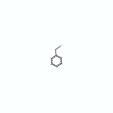 FCc1[c][c][c][c]c1